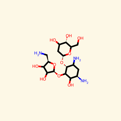 NC[C@H]1O[C@@H](OC2C(O)[C@H](N)CC(N)[C@H]2O[C@@H]2CC(O)[C@H](O)C(CO)O2)C(O)C1O